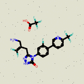 NCC(Cc1n[nH]c(=O)n1-c1ccc(-c2ccc(C(F)(F)F)nc2)c(F)c1)=C(F)F.O=C(O)C(F)(F)F